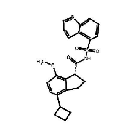 COc1ccc(C2CCC2)c2c1[C@H](C(=O)NS(=O)(=O)c1cccc3ncccc13)CC2